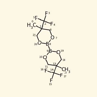 CC1(C(F)(F)F)COB(B2OCC(C)(C(F)(F)F)CO2)OC1